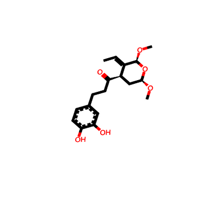 C/C=C1/[C@@H](OC)O[C@@H](OC)C[C@H]1C(=O)CCc1ccc(O)c(O)c1